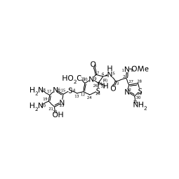 CON=C(C(=O)N[C@@H]1C(=O)N2C(C(=O)O)=C(CSc3nc(N)c(N)c(O)n3)CS[C@@H]12)c1csc(N)n1